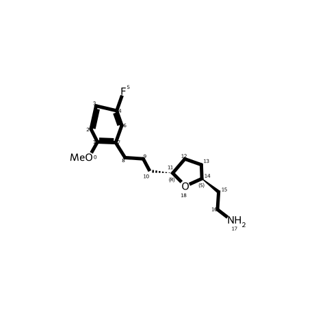 COc1ccc(F)cc1CCC[C@@H]1CC[C@@H](CCN)O1